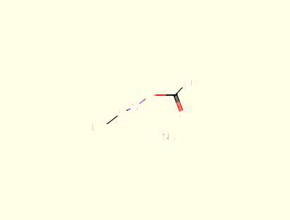 CCNOC(C)=O.[NaH]